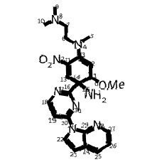 COC1C=C(N(C)CCN(C)C)C([N+](=O)[O-])=CC1(N)c1nccc(-n2ccc3cccnc32)n1